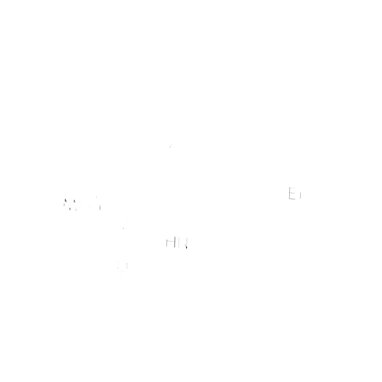 CC/C1=C/C=C\C=C(\C(=O)OC)NCC1C